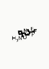 NC(=O)C1(c2ccc(C(F)(F)F)cn2)CCC1